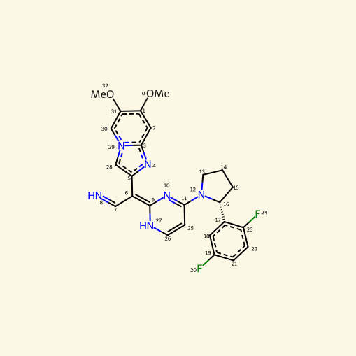 COc1cc2nc(/C(C=N)=C3\N=C(N4CCC[C@@H]4c4cc(F)ccc4F)C=CN3)cn2cc1OC